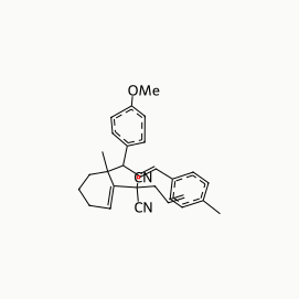 C=CCC(C#N)(C#N)C1=CCCCC1(C)C(/C=C/c1ccc(C)cc1)c1ccc(OC)cc1